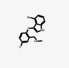 CNCc1cc(F)ccc1Sc1c[nH]c2cccc(Br)c12